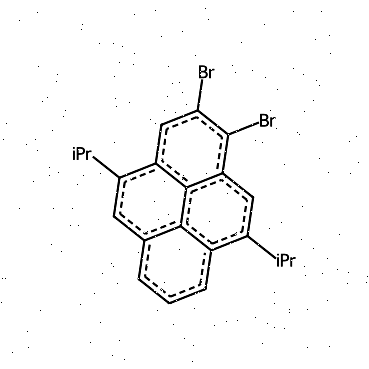 CC(C)c1cc2c(Br)c(Br)cc3c(C(C)C)cc4cccc1c4c32